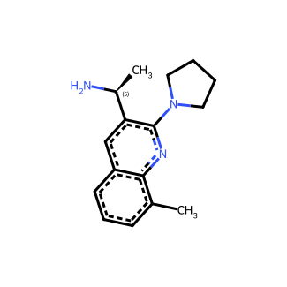 Cc1cccc2cc([C@H](C)N)c(N3CCCC3)nc12